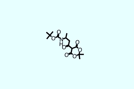 CC(CC(=O)C1C(=O)OC(C)(C)OC1=O)NC(=O)OC(C)(C)C